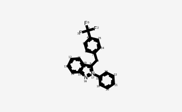 FC(F)(F)c1ccc(Cc2c3ccccc3nn2-c2ccccc2)cc1